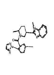 Cc1ccc(-n2nccn2)c(C(=O)N2CC(c3nc4ccccc4n3C)CCC2C)c1